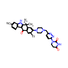 CCc1cc2c(cc1N1CCN(Cc3ccc(N4CCC(=O)NC4=O)nn3)CC1)C(C)(C)c1[nH]c3cc(C#N)ccc3c1C2=O